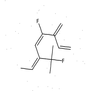 C=CC(=C)/C(F)=C\C(=C/C)C(C)(C)F